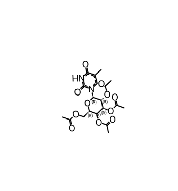 CC(=O)OC[C@H]1O[C@@H](n2cc(C)c(=O)[nH]c2=O)[C@H](OC(C)=O)[C@@H](OC(C)=O)[C@H]1OC(C)=O